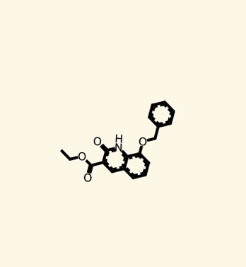 CCOC(=O)c1cc2cccc(OCc3ccccc3)c2[nH]c1=O